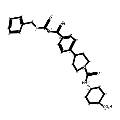 N=C(NC(=O)OCc1ccccc1)c1ccc(C2CCN(C(=O)N[C@H]3CC[C@H](C(=O)O)CC3)CC2)cc1